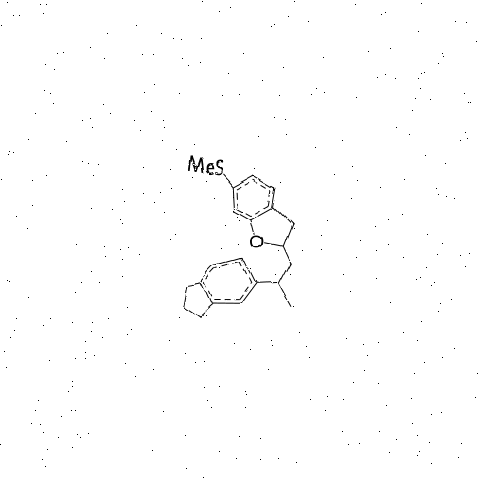 CSc1ccc2c(c1)OC(CC(C)c1ccc3c(c1)CCC3)C2